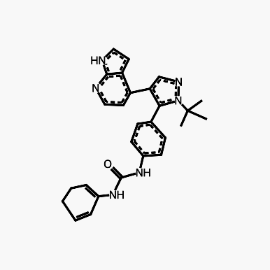 CC(C)(C)n1ncc(-c2ccnc3[nH]ccc23)c1-c1ccc(NC(=O)NC2=CCCC=C2)cc1